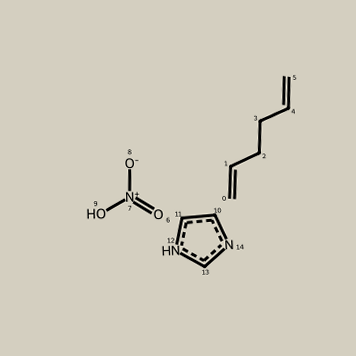 C=CCCC=C.O=[N+]([O-])O.c1c[nH]cn1